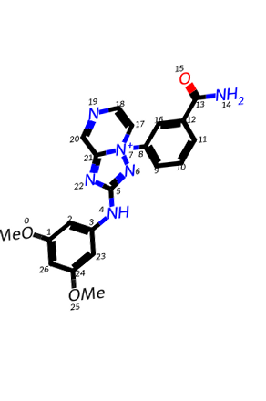 COc1cc(NC2=N[N+]3(c4cccc(C(N)=O)c4)C=CN=CC3=N2)cc(OC)c1